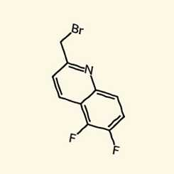 Fc1ccc2nc(CBr)ccc2c1F